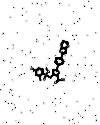 COP(=O)(Cc1cc(-c2ccc(-c3cc4ncccc4o3)cc2)sc1C(=O)O)c1ccc(Cl)cc1C